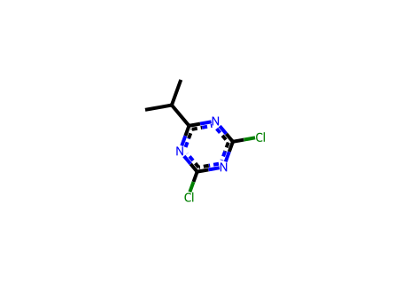 CC(C)c1nc(Cl)nc(Cl)n1